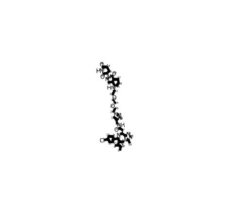 Cc1sc2c(c1C)C(c1ccc(Cl)cc1)=N[C@@H](CC(=O)NCc1cn(CCOCCOCCNc3cccc4c(=O)n(C5CCC(=O)NC5=O)ncc34)nn1)c1nnc(C)n1-2